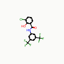 O=C(Nc1cc(C(F)(F)F)cc(C(F)(F)F)c1)c1cccc(Cl)c1O